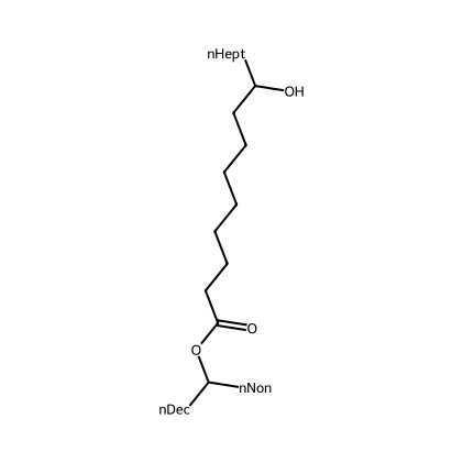 CCCCCCCCCCC(CCCCCCCCC)OC(=O)CCCCCCCC(O)CCCCCCC